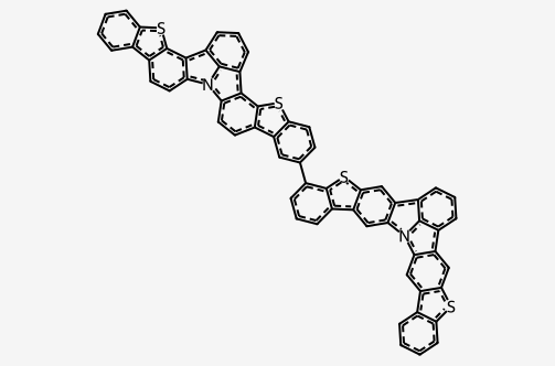 c1ccc2c(c1)sc1cc3c4cccc5c6cc7sc8c(-c9ccc%10sc%11c(ccc%12c%11c%11cccc%13c%14c%15sc%16ccccc%16c%15ccc%14n%12c%13%11)c%10c9)cccc8c7cc6n(c3cc12)c45